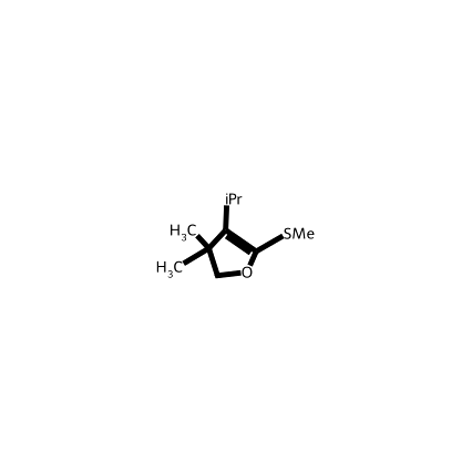 CSC1=C(C(C)C)C(C)(C)CO1